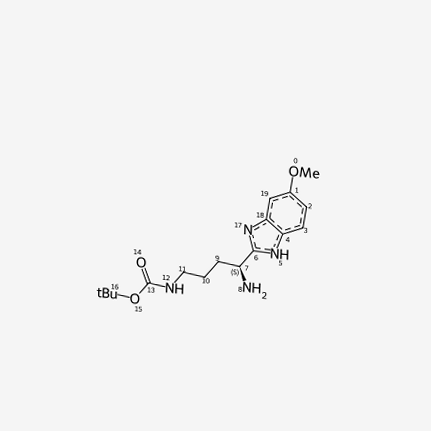 COc1ccc2[nH]c([C@@H](N)CCCNC(=O)OC(C)(C)C)nc2c1